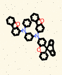 c1ccc(N(c2cccc(N(c3ccc4c(c3)Oc3ccccc3C43c4ccccc4-c4ccccc43)c3ccc4oc5ccccc5c4c3)c2)c2cccc3c2oc2ccccc23)cc1